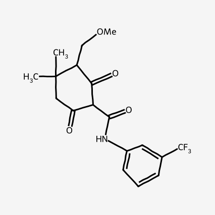 COCC1C(=O)C(C(=O)Nc2cccc(C(F)(F)F)c2)C(=O)CC1(C)C